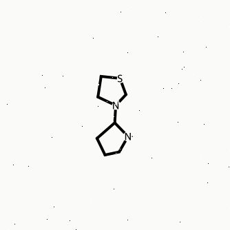 C1C[N]C(N2CCSC2)C1